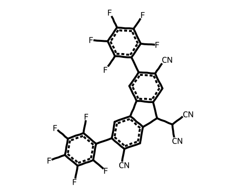 N#Cc1cc2c(cc1-c1c(F)c(F)c(F)c(F)c1F)-c1cc(-c3c(F)c(F)c(F)c(F)c3F)c(C#N)cc1C2C(C#N)C#N